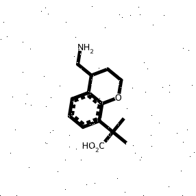 CC(C)(C(=O)O)c1cccc2c1OCCC2CN